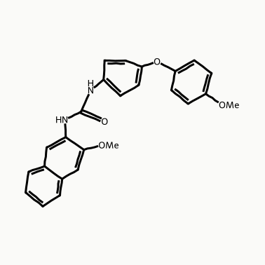 COc1ccc(Oc2ccc(NC(=O)Nc3cc4ccccc4cc3OC)cc2)cc1